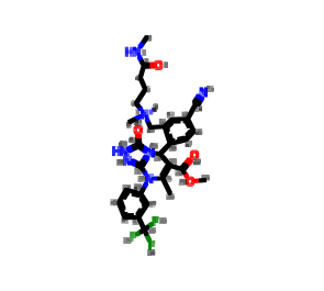 CNC(=O)CCC[N+](C)(C)Cc1cc(C#N)ccc1C1C(C(=O)OC)=C(C)N(c2cccc(C(F)(F)F)c2)c2n[nH]c(=O)n21